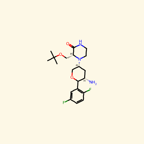 CC(C)(C)OC[C@@H]1C(=O)NCCN1[C@H]1COC(c2cc(F)ccc2F)[C@@H](N)C1